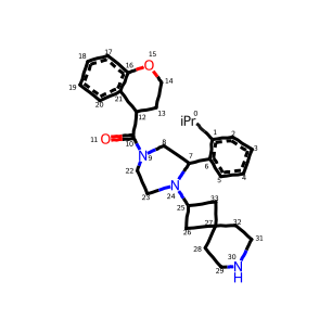 CC(C)c1ccccc1C1CN(C(=O)C2CCOc3ccccc32)CCN1C1CC2(CCNCC2)C1